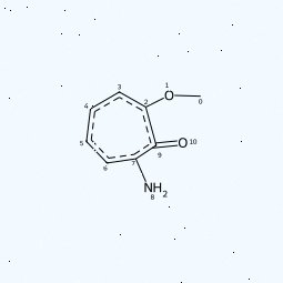 COc1ccccc(N)c1=O